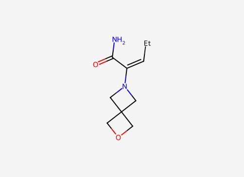 CCC=C(C(N)=O)N1CC2(COC2)C1